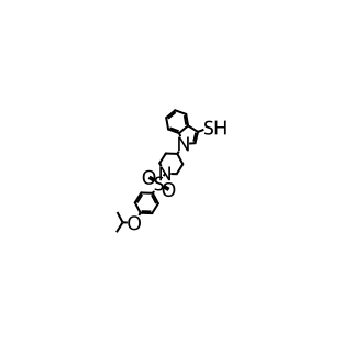 CC(C)Oc1ccc(S(=O)(=O)N2CCC(n3cc(S)c4ccccc43)CC2)cc1